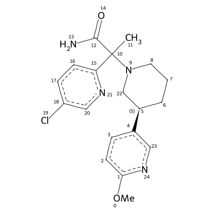 COc1ccc([C@@H]2CCCN(C(C)(C(N)=O)c3ccc(Cl)cn3)C2)cn1